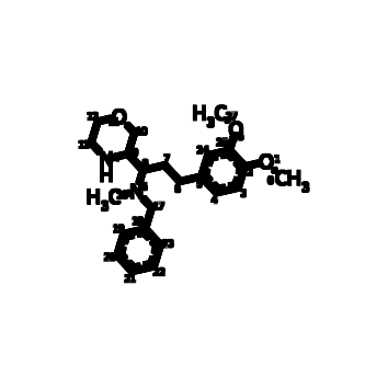 COc1ccc(CCC(C2COCCN2)N(C)Cc2ccccc2)cc1OC